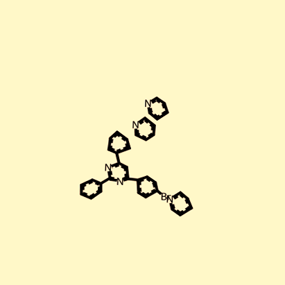 Brc1ccc(-c2cc(-c3ccccc3)nc(-c3ccccc3)n2)cc1.c1ccncc1.c1ccncc1.c1ccncc1